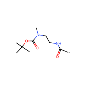 [CH2]C(=O)NCCN(C)C(=O)OC(C)(C)C